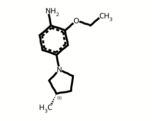 CCOc1cc(N2CC[C@H](C)C2)ccc1N